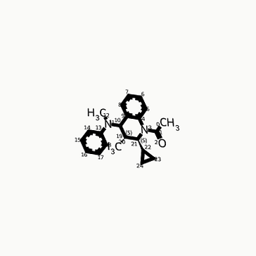 CC(=O)N1c2ccccc2C(N(C)c2ccccc2)[C@@H](C)[C@@H]1C1CC1